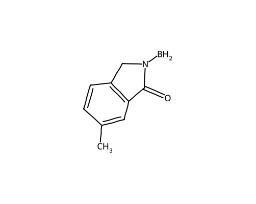 BN1Cc2ccc(C)cc2C1=O